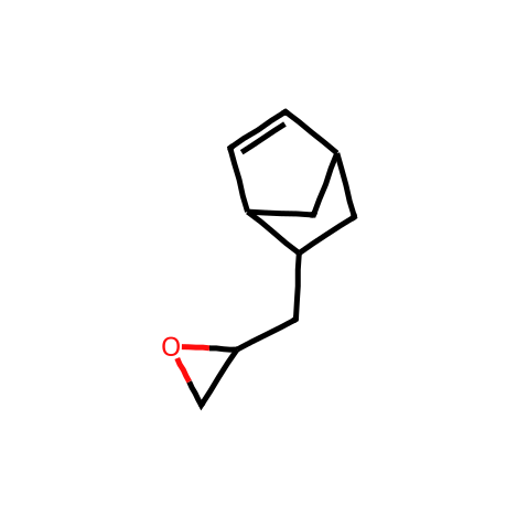 C1=CC2CC1CC2CC1CO1